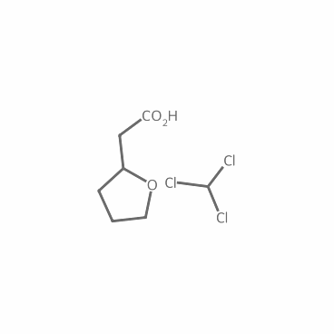 ClC(Cl)Cl.O=C(O)CC1CCCO1